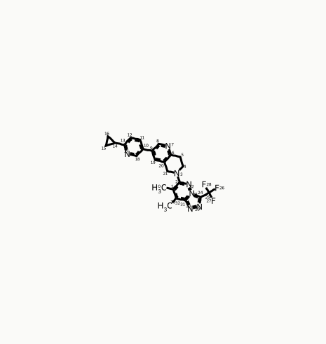 Cc1c(N2CCc3ncc(-c4ccc(C5CC5)nc4)cc3C2)nn2c(C(F)(F)F)nnc2c1C